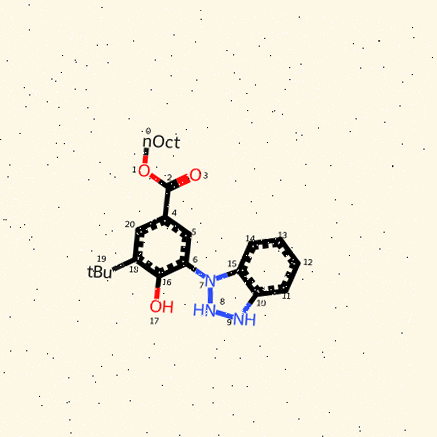 CCCCCCCCOC(=O)c1cc(N2NNc3ccccc32)c(O)c(C(C)(C)C)c1